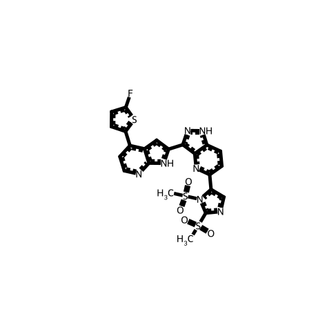 CS(=O)(=O)c1ncc(-c2ccc3[nH]nc(-c4cc5c(-c6ccc(F)s6)ccnc5[nH]4)c3n2)n1S(C)(=O)=O